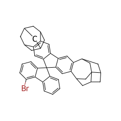 Brc1cccc2c1-c1ccccc1C21c2cc3c(cc2-c2cc4c(cc21)C1CC2CC5CC4CC52C1)C1CC2CC(C1)CC3C2